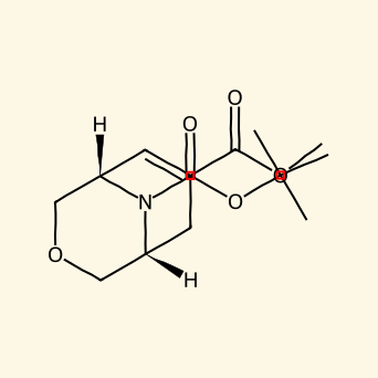 COC(=O)C1=C[C@H]2COC[C@@H](C1)N2C(=O)OC(C)(C)C